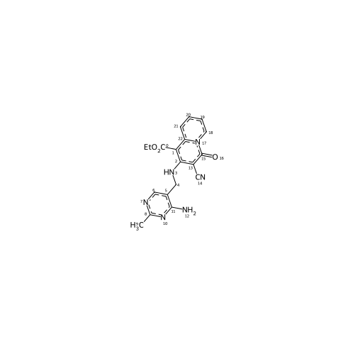 CCOC(=O)c1c(NCc2cnc(C)nc2N)c(C#N)c(=O)n2ccccc12